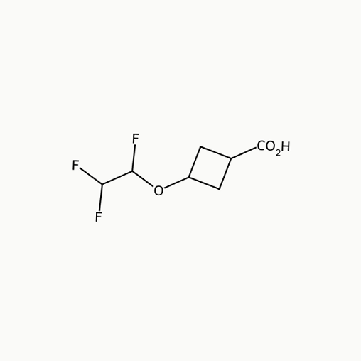 O=C(O)C1CC(OC(F)C(F)F)C1